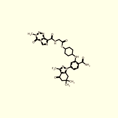 Cn1nnc2c(C(=O)NCC(=O)OC3CCC(Nc4cc(-n5nc(C(F)(F)F)c6c5CC(C)(C)CC6=O)ccc4C(N)=O)CC3)ncn2c1=O